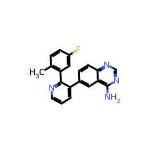 Cc1ccc(F)cc1-c1ncccc1-c1ccc2ncnc(N)c2c1